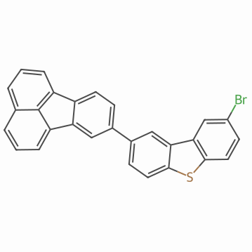 Brc1ccc2sc3ccc(-c4ccc5c(c4)-c4cccc6cccc-5c46)cc3c2c1